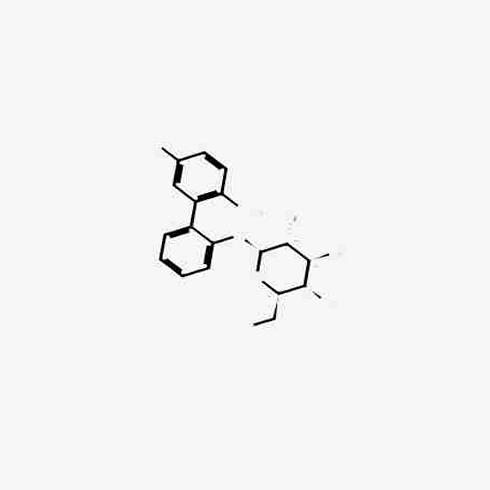 CCOC(=O)c1ccc(OC)c(-c2ccccc2O[C@@H]2O[C@H](CO)[C@H](O)[C@H](O)[C@H]2NC(C)=O)c1